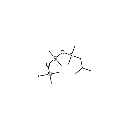 [CH][Si](C)(C)O[Si](C)(C)O[Si](C)(C)CC(C)C